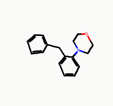 c1ccc(Cc2ccccc2N2CCOCC2)cc1